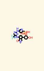 CN1Cc2c(C3CCC(O)CC3)ccc(Nc3nc(Nc4ccc(CP(=O)(O)O)nc4)ncc3C(F)(F)F)c2C1=O